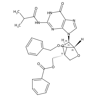 CC(C)C(=O)Nc1nc2c(ncn2[C@@H]2O[C@]3(COC(=O)c4ccccc4)CO[C@@H]2[C@@H]3OCc2ccccc2)c(=O)[nH]1